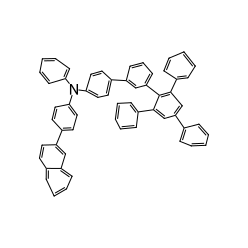 c1ccc(-c2cc(-c3ccccc3)c(-c3cccc(-c4ccc(N(c5ccccc5)c5ccc(-c6ccc7ccccc7c6)cc5)cc4)c3)c(-c3ccccc3)c2)cc1